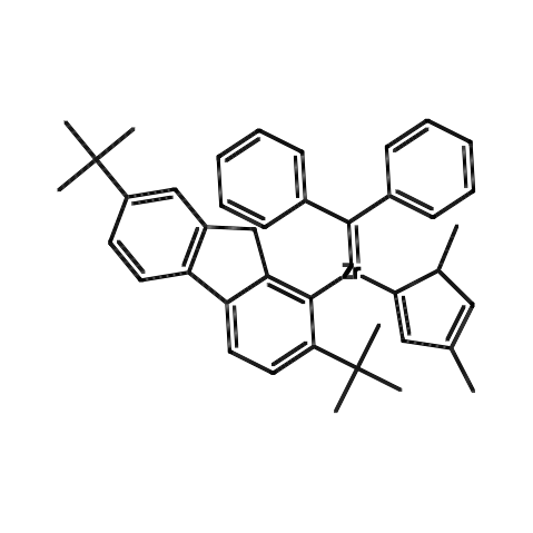 CC1=CC(C)[C]([Zr](=[C](c2ccccc2)c2ccccc2)[c]2c(C(C)(C)C)ccc3c2Cc2cc(C(C)(C)C)ccc2-3)=C1